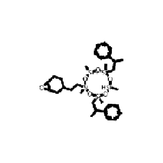 CC(C[Si]1(C)O[SiH](C)O[Si](C)(CCC2CCC3OC3C2)O[Si](C)(CC(C)c2ccccc2)O[SiH](C)O1)c1ccccc1